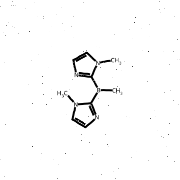 CB(c1nccn1C)c1nccn1C